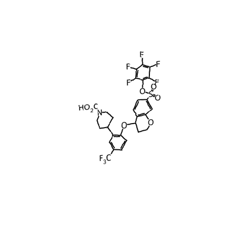 O=C(O)N1CCC(c2cc(C(F)(F)F)ccc2OC2CCOc3cc(S(=O)(=O)Oc4c(F)c(F)c(F)c(F)c4F)ccc32)CC1